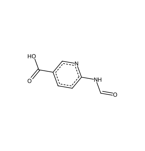 O=CNc1ccc(C(=O)O)cn1